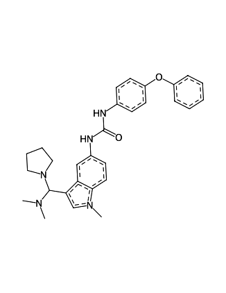 CN(C)C(c1cn(C)c2ccc(NC(=O)Nc3ccc(Oc4ccccc4)cc3)cc12)N1CCCC1